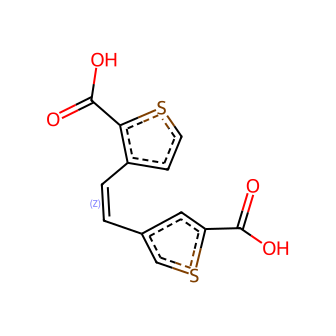 O=C(O)c1cc(/C=C\c2ccsc2C(=O)O)cs1